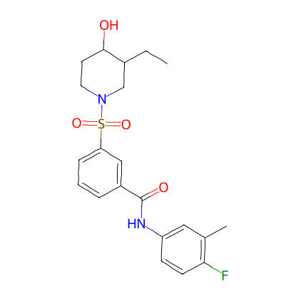 CCC1CN(S(=O)(=O)c2cccc(C(=O)Nc3ccc(F)c(C)c3)c2)CCC1O